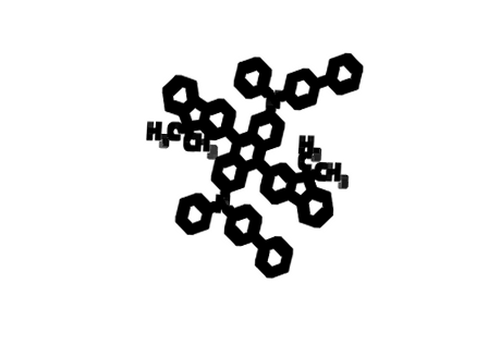 CC1(C)c2ccccc2-c2ccc(-c3c4ccc(N(C5=CC=CCC5)c5ccc(C6=CCCC=C6)cc5)cc4c(-c4ccc5c(c4)C(C)(C)c4ccccc4-5)c4ccc(N(C5=CCC(c6ccccc6)C=C5)c5ccccc5)cc34)cc21